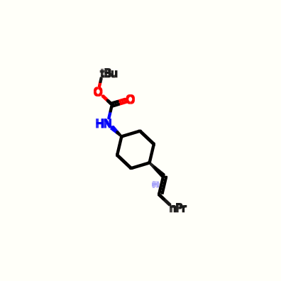 CCC/C=C/[C@H]1CC[C@@H](NC(=O)OC(C)(C)C)CC1